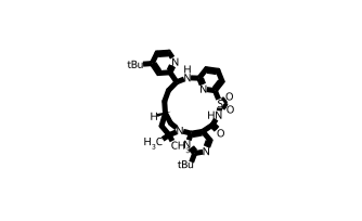 CC(C)(C)c1ccnc(C2CC[C@@H]3CN(c4nc(C(C)(C)C)ncc4C(=O)NS(=O)(=O)c4cccc(n4)N2)C(C)(C)C3)c1